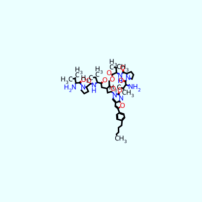 CCCCCc1ccc(-c2cc3cn(C4CC(CC(=O)C(NC(=O)C5CCCN5C(=O)C(N)C(C)C)C(C)C)C(COC(=O)C(NC(=O)C5CCCN5C(=O)C(N)C(C)C)C(C)C)O4)c(=O)nc3o2)cc1